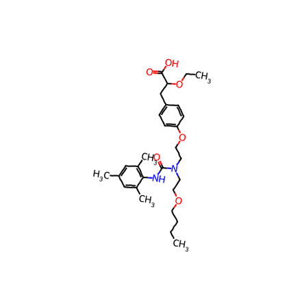 CCCCOCCN(CCOc1ccc(CC(OCC)C(=O)O)cc1)C(=O)Nc1c(C)cc(C)cc1C